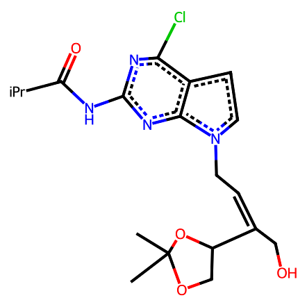 CC(C)C(=O)Nc1nc(Cl)c2ccn(C/C=C(/CO)C3COC(C)(C)O3)c2n1